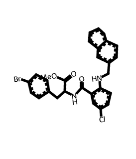 COC(=O)C(Cc1ccc(Br)cc1)NC(=O)c1cc(Cl)ccc1NCc1ccc2ccccc2c1